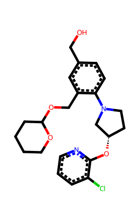 OCc1ccc(N2CC[C@H](Oc3ncccc3Cl)C2)c(COC2CCCCO2)c1